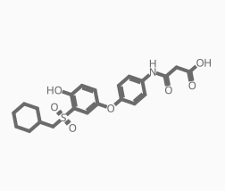 O=C(O)CC(=O)Nc1ccc(Oc2ccc(O)c(S(=O)(=O)CC3CCCCC3)c2)cc1